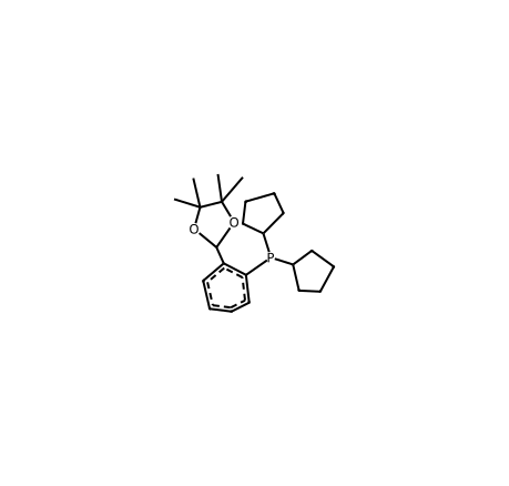 CC1(C)OC(c2ccccc2P(C2CCCC2)C2CCCC2)OC1(C)C